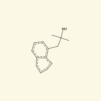 CC(C)([NH])Cc1cccc2ccccc12